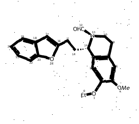 CCOc1cc2c(cc1OC)CCN(C=O)[C@H]2CCc1cc2ccccc2o1